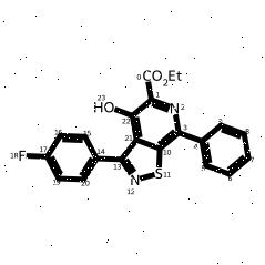 CCOC(=O)c1nc(-c2ccccc2)c2snc(-c3ccc(F)cc3)c2c1O